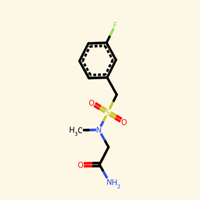 CN(CC(N)=O)S(=O)(=O)Cc1cccc(F)c1